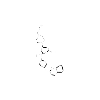 Cc1nc(Nc2ccc(Sc3ccc4ccccc4n3)cc2)nc(N2CCN(CCO)CC2)n1